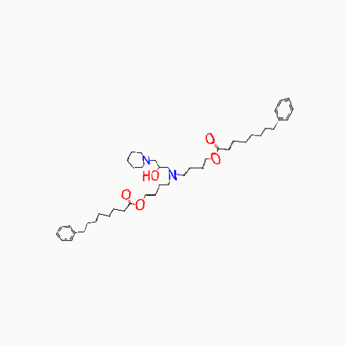 O=C(CCCCCCCc1ccccc1)OCCCCN(CCCCOC(=O)CCCCCCCc1ccccc1)CC(O)CN1CCCCC1